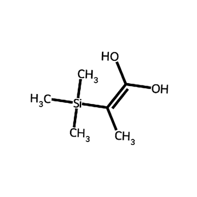 CC(=C(O)O)[Si](C)(C)C